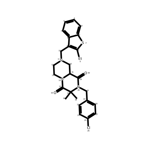 CCc1sc2ccccc2c1CN1CCN2C(=O)C(C)(C)N(Cc3ccc(Cl)cc3)C(=O)C2C1